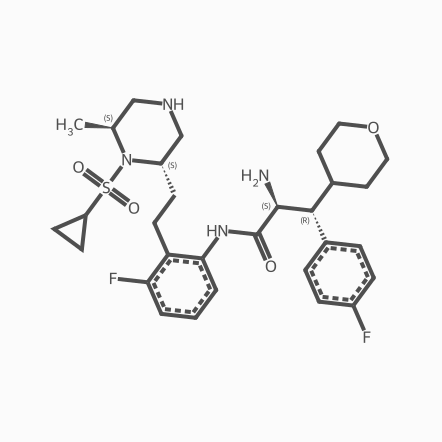 C[C@H]1CNC[C@H](CCc2c(F)cccc2NC(=O)[C@@H](N)[C@@H](c2ccc(F)cc2)C2CCOCC2)N1S(=O)(=O)C1CC1